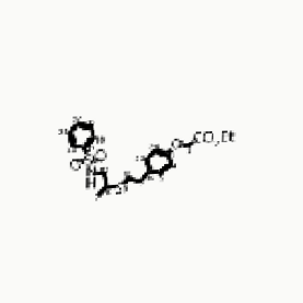 CCOC(=O)COc1ccc(CCSC(C)CNS(=O)(=O)c2ccccc2)cc1